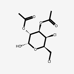 CC(=O)O[C@@H]1[C@@H](OC(C)=O)[C@@H](Cl)[C@@H](CCl)O[C@@H]1O